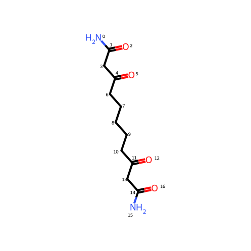 NC(=O)CC(=O)CCCCCC(=O)CC(N)=O